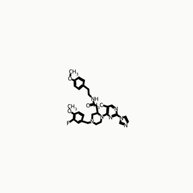 COc1ccc(CCNC(=O)CC2CN(Cc3ccc(OC)c(F)c3)CCN2c2nc(-n3ccnc3)ncc2C)cc1